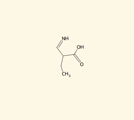 CCC(C=N)C(=O)O